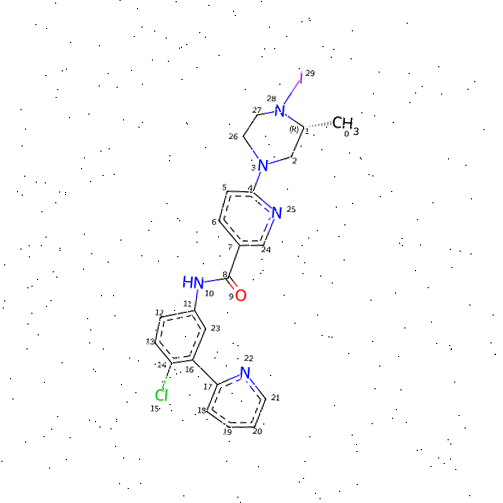 C[C@@H]1CN(c2ccc(C(=O)Nc3ccc(Cl)c(-c4ccccn4)c3)cn2)CCN1I